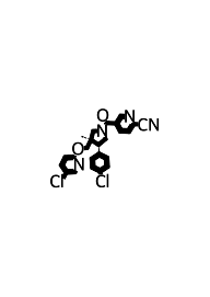 C[C@]1(COc2ccc(Cl)cn2)CN(C(=O)c2ccc(C#N)nc2)C[C@@H]1c1ccc(Cl)cc1